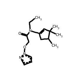 CCN(C(=O)COn1cccn1)C1=CC(C)(C)C(C)C1